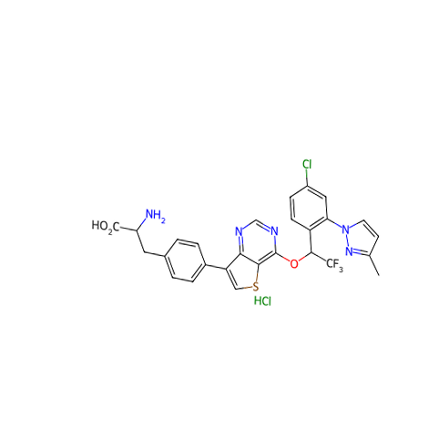 Cc1ccn(-c2cc(Cl)ccc2C(Oc2ncnc3c(-c4ccc(CC(N)C(=O)O)cc4)csc23)C(F)(F)F)n1.Cl